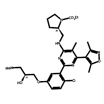 CCOC(=O)N1CCC[C@@H]1CNc1nc(-c2cc(OC[C@@H](O)CNC)ccc2Cl)nc(-c2c(C)noc2C)c1C